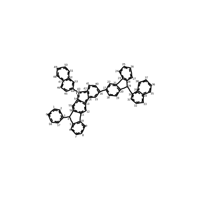 c1ccc(C2c3ccccc3-c3cc4c5cc(-c6ccc7c(c6)-c6ccccc6C7c6cccc7ccccc67)ccc5n(-c5ccc6ccccc6c5)c4cc32)cc1